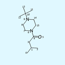 CC(C)CC(=O)N1CCN(C(C)(C)C)CC1